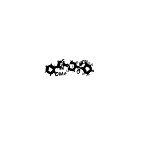 COc1ccccc1-c1csc(N2CCC(S(=O)(=O)c3ccccc3Cl)CC2)n1